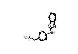 O=C(O)Cc1ccc(Nc2nc3ccccc3o2)cc1